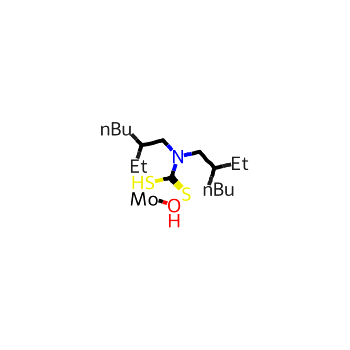 CCCCC(CC)CN(CC(CC)CCCC)C(=S)S.[OH][Mo]